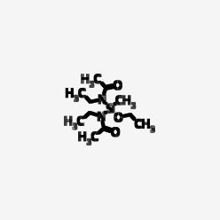 CCO[Si](C)(N(CC)C(C)=O)N(CC)C(C)=O